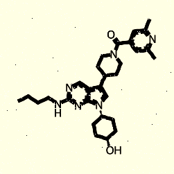 CCCCNc1ncc2c(C3CCN(C(=O)c4cc(C)nc(C)c4)CC3)cn([C@H]3CC[C@H](O)CC3)c2n1